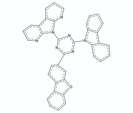 c1ccc2c(c1)oc1cc(-c3nc(-n4c5ccccc5c5ccccc54)nc(-n4c5ncccc5c5cccnc54)n3)ccc12